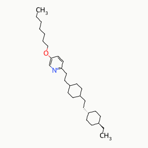 CCCCCCCOc1ccc(CCC2CCC(CC[C@H]3CC[C@H](CC)CC3)CC2)nc1